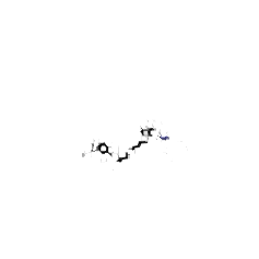 C=C(CCOCCCCn1cnc2c(N)nc(/C(C)=C/C)nc21)NCc1ccc2ncn(C(C)C)c2c1